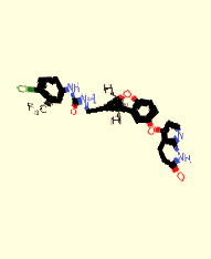 O=C1CCc2c(Oc3ccc4c(c3)[C@H]3C(CNC(=O)Nc5ccc(Cl)c(C(F)(F)F)c5)[C@H]3O4)ccnc2N1